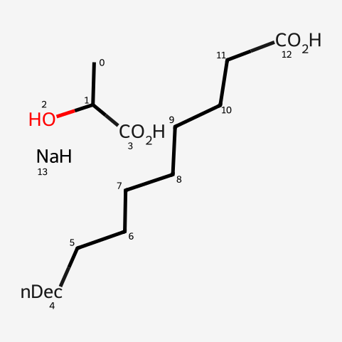 CC(O)C(=O)O.CCCCCCCCCCCCCCCCCC(=O)O.[NaH]